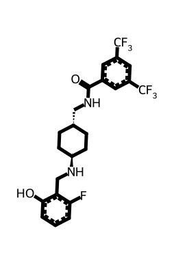 O=C(NC[C@H]1CC[C@H](NCc2c(O)cccc2F)CC1)c1cc(C(F)(F)F)cc(C(F)(F)F)c1